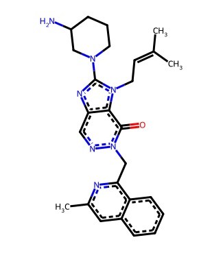 CC(C)=CCn1c(N2CCCC(N)C2)nc2cnn(Cc3nc(C)cc4ccccc34)c(=O)c21